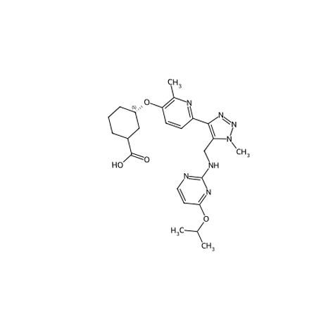 Cc1nc(-c2nnn(C)c2CNc2nccc(OC(C)C)n2)ccc1O[C@H]1CCCC(C(=O)O)C1